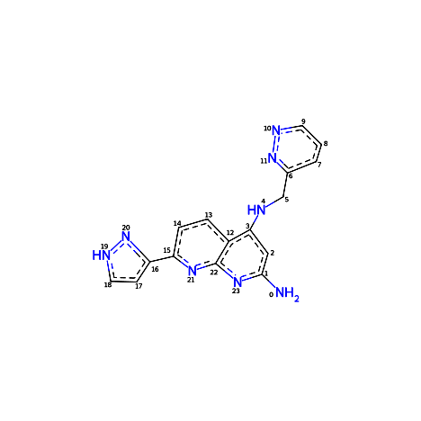 Nc1cc(NCc2cccnn2)c2ccc(-c3cc[nH]n3)nc2n1